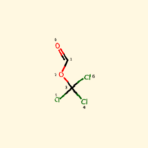 O=COC(Cl)(Cl)Cl